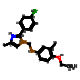 CC1=C[SH](CSc2ccc(OCC(=O)O)c(C)c2)C(c2ccc(Br)cc2)=N1